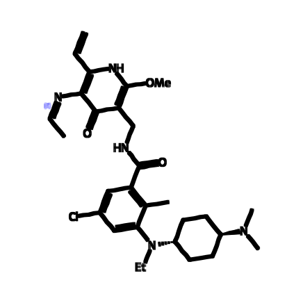 C=Cc1[nH]c(OC)c(CNC(=O)c2cc(Cl)cc(N(CC)[C@H]3CC[C@H](N(C)C)CC3)c2C)c(=O)c1/N=C\C